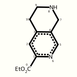 CCOC(=O)c1cc2c(cn1)CNCC2